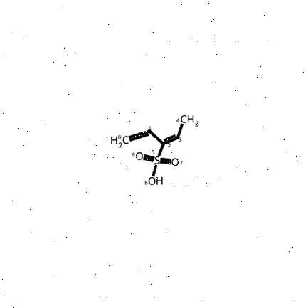 C=C/C(=C\C)S(=O)(=O)O